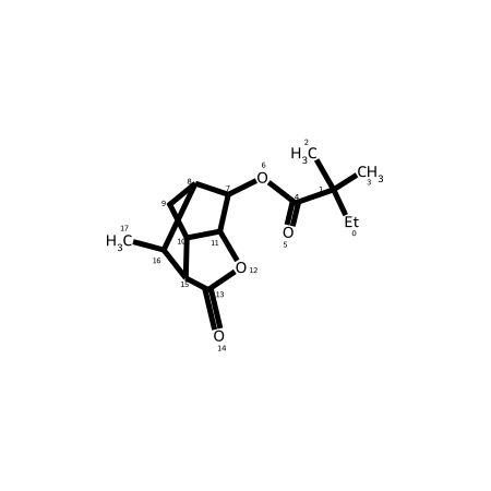 CCC(C)(C)C(=O)OC1C2CC3C1OC(=O)C3C2C